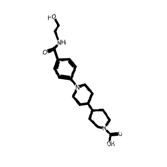 O=C(NCCO)c1ccc(N2CCC(C3CCN(C(=O)O)CC3)CC2)cc1